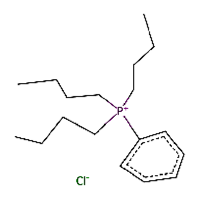 CCCC[P+](CCCC)(CCCC)c1ccccc1.[Cl-]